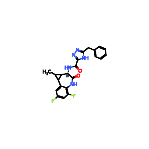 CC1C2c3cc(F)cc(F)c3NC(=O)[C@@H](NC(=O)c3nnc(Cc4ccccc4)[nH]3)C12